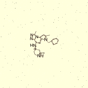 Cc1cc2c(cc(N[C@@H]3CCN[C@H](C)C3)c3nnc(C)n32)n1Cc1ccccc1